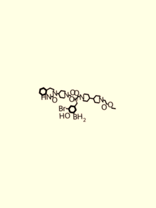 Bc1cc(C[C@@H](OC(=O)N2CCC(N3CCc4ccccc4NC3=O)CC2)C(=O)N2CCC(C3CCN(CC(=O)OCC)CC3)CC2)cc(Br)c1O